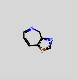 C1=Cc2scnc2CN=C1